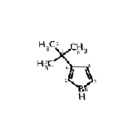 CC(C)(C)C1=CBC=C1